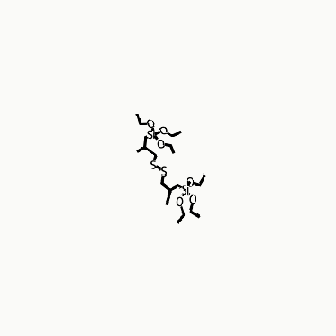 CCO[Si](CC(C)CSSCC(C)C[Si](OCC)(OCC)OCC)(OCC)OCC